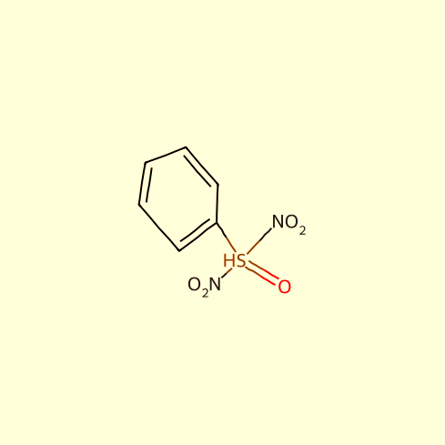 O=[N+]([O-])[SH](=O)(c1ccccc1)[N+](=O)[O-]